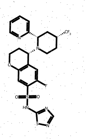 O=S(=O)(Nc1ncns1)c1cc2c(cc1F)[C@@H](N1CC[C@@H](C(F)(F)F)C[C@H]1c1ccccn1)CCO2